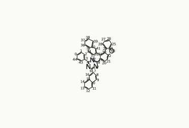 c1ccc(-c2nc(-c3ccc4ccccc4c3)nc(-c3ccc4oc5ccccc5c4c3-c3ccc4ccccc4c3)n2)cc1